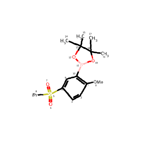 COc1ccc(S(=O)(=O)C(C)C)cc1B1OC(C)(C)C(C)(C)O1